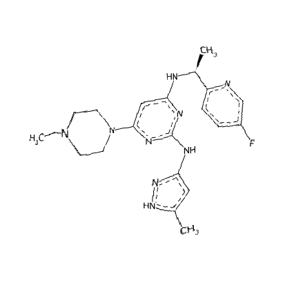 Cc1cc(Nc2nc(N[C@@H](C)c3ccc(F)cn3)cc(N3CCN(C)CC3)n2)n[nH]1